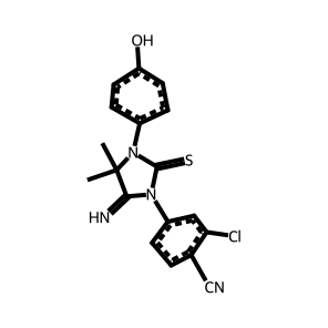 CC1(C)C(=N)N(c2ccc(C#N)c(Cl)c2)C(=S)N1c1ccc(O)cc1